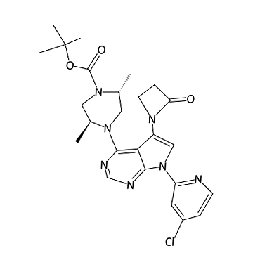 C[C@@H]1CN(c2ncnc3c2c(N2CCC2=O)cn3-c2cc(Cl)ccn2)[C@@H](C)CN1C(=O)OC(C)(C)C